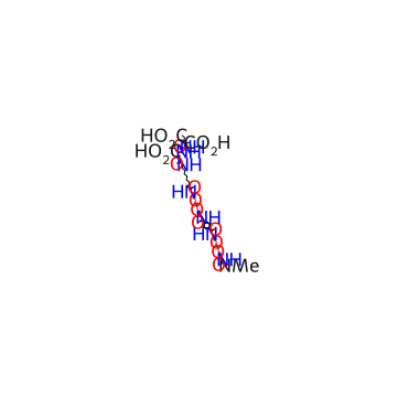 CNC(=O)NCCOCCOCCNC(=O)c1ccc(C(=O)NCCOCCOCCNC(=O)CCCCCCCNC(=O)CCC(NC(=O)NC(CCC(=O)O)C(=O)O)C(=O)O)cc1